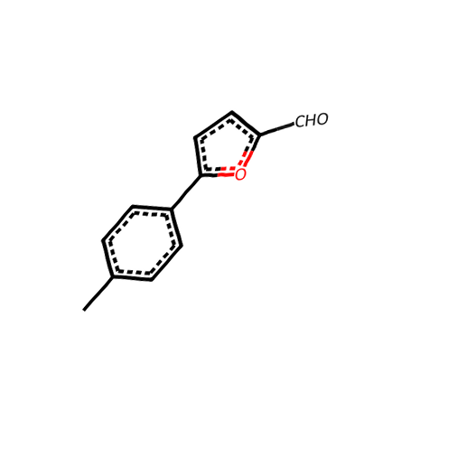 Cc1ccc(-c2ccc(C=O)o2)cc1